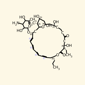 CCC[C@@H]1C/C=C/C=C/C=C/C=C/[C@H](OC2OC(C)C(O)C(N)C2O)CC2O[C@](O)(C[C@@H](O)CCCC(=O)C[C@@H](O)[C@H](CC)C(=O)O1)C[C@H](O)[C@H]2C